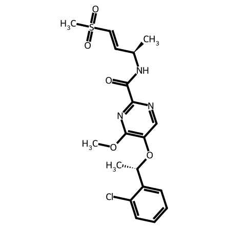 COc1nc(C(=O)N[C@H](C)/C=C/S(C)(=O)=O)ncc1O[C@@H](C)c1ccccc1Cl